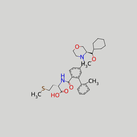 COC(C1CCCCC1)[C@@H]1COCCN1Cc1ccc(C(=O)N[C@@H](CCSC)C(=O)O)c(-c2ccccc2C)c1